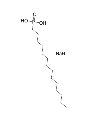 CCCCCCCCCCCCCCP(=O)(O)O.[NaH]